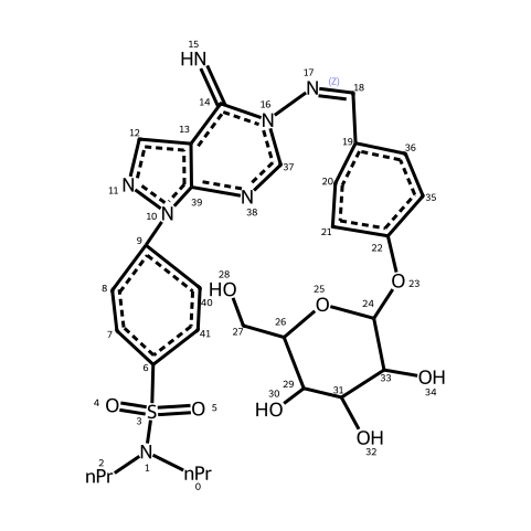 CCCN(CCC)S(=O)(=O)c1ccc(-n2ncc3c(=N)n(/N=C\c4ccc(OC5OC(CO)C(O)C(O)C5O)cc4)cnc32)cc1